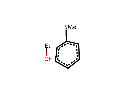 CCO.CSc1ccccc1